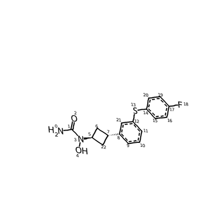 NC(=O)N(O)[C@H]1C[C@H](c2cccc(Sc3ccc(F)cc3)c2)C1